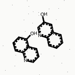 Oc1cccc2ncccc12.Oc1cnc2ccccc2c1